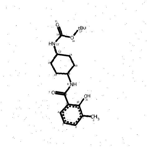 Cc1cccc(C(=O)NC2CCC(NC(=O)OC(C)(C)C)CC2)c1O